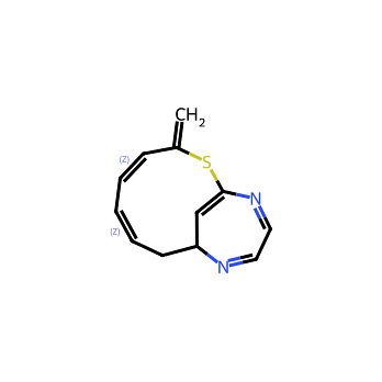 C=C1/C=C\C=C/CC2C=C(N=CC=N2)S1